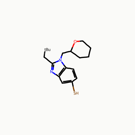 CC(C)(C)Cc1nc2cc(S)ccc2n1CC1CCCCO1